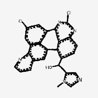 Cn1cncc1C(O)c1ccc2nc(Cl)nc(-c3cccc(Cl)c3)c2c1-c1ccc2ncccc2c1